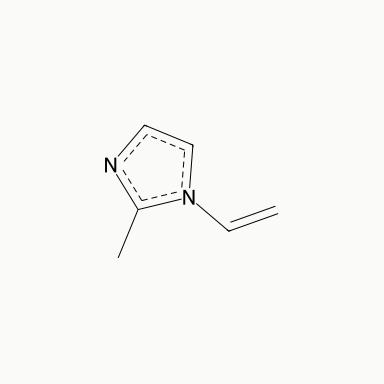 C=Cn1ccnc1C